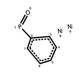 O=Pc1ccccc1.[N].[N]